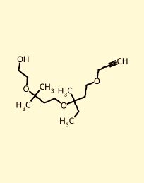 C#CCOCCC(C)(CC)OCCC(C)(C)OCCO